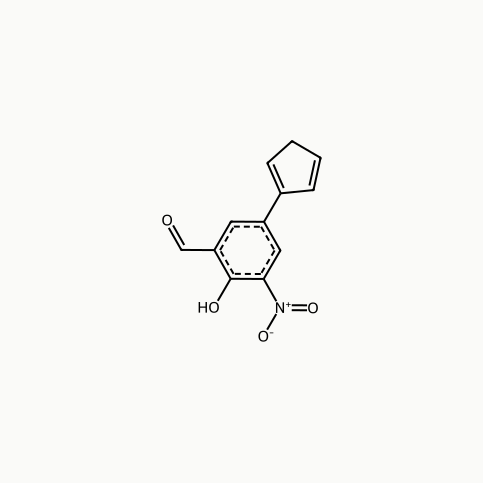 O=Cc1cc(C2=CCC=C2)cc([N+](=O)[O-])c1O